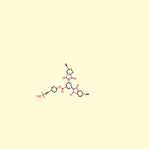 C#Cc1ccc2c(c1)C(=O)N(c1cc(C(=O)Oc3ccc(C#CC(C)(C)O)cc3)cc(N3C(=O)c4ccc(C#C)cc4C3=O)c1)C2=O